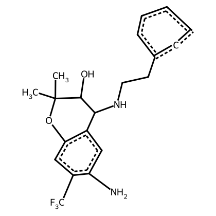 CC1(C)Oc2cc(C(F)(F)F)c(N)cc2C(NCCc2ccccc2)C1O